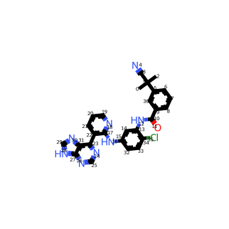 CC(C)(C#N)c1cccc(C(=O)Nc2cc(Nc3ncccc3-c3ncnc4[nH]cnc34)ccc2Cl)c1